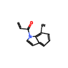 C=CC(=O)n1ccc2cccc(C(C)C)c21